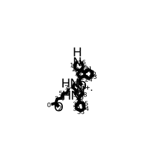 CC(=O)CCCCC[C@H](NC(=O)C1CC2(CCNCC2)c2ccccc21)C1=[N+]C=C(c2ccccc2)N1